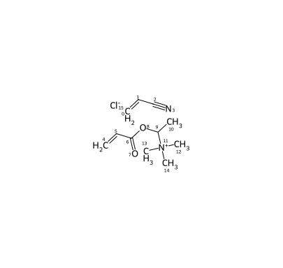 C=CC#N.C=CC(=O)OC(C)[N+](C)(C)C.[Cl-]